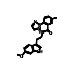 COc1ccc2c(CCNC(=O)c3cc(C)ccc3-n3nccn3)c[nH]c2c1